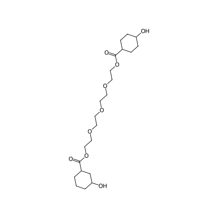 O=C(OCCOCCOCCOCCOC(=O)C1CCCC(O)C1)C1CCC(O)CC1